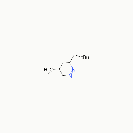 CC1C=C(CC(C)(C)C)N=NC1